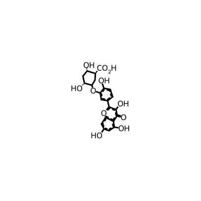 O=C(O)[C@H]1CC(Oc2cc(-c3oc4cc(O)cc(O)c4c(=O)c3O)ccc2O)[C@H](O)C[C@@H]1O